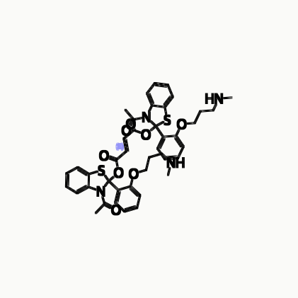 CNCCCOc1ccccc1C1(OC(=O)/C=C/C(=O)OC2(c3ccccc3OCCCNC)Sc3ccccc3N2C(C)=O)Sc2ccccc2N1C(C)=O